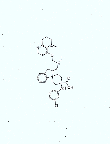 C[C@@H](COc1ccnc2c1[C@H](C)CCC2)CC1Cc2ccccc2C12CCC(Nc1cccc(Cl)c1)(C(=O)O)CC2